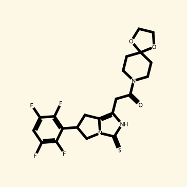 O=C(Cc1[nH]c(=S)n2c1CC(c1c(F)c(F)cc(F)c1F)C2)N1CCC2(CC1)OCCO2